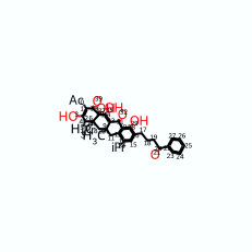 CC(=O)C1=C(O)C(C(C)C)[C@@]2(C)C[C@@]3(C)Cc4c(C(C)C)cc(CCCC(=O)c5ccccc5)c(O)c4C(=O)C3=C(O)[C@@]2(O)C1=O